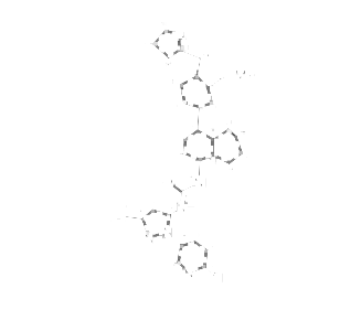 COc1cc(-c2ccc(NC(=O)Nc3cc(C(C)(C)C)nn3-c3ccc(C)nc3)c3ccccc23)ccc1Cc1ccco1